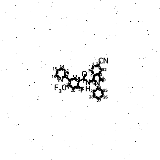 N#Cc1ccc2c(NC(=O)c3cc(-c4ncccn4)c(C(F)(F)F)cc3F)n(-c3ccccc3)nc2c1